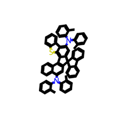 Cc1ccccc1N(c1ccccc1C)c1cc2c(c3ccccc13)-c1c(cc(N(c3ccccc3C)c3ccccc3C)c3c1sc1ccccc13)C21c2ccccc2-c2ccccc21